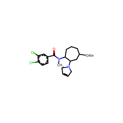 COC1CCCC(N(C)C(=O)c2ccc(Cl)c(Cl)c2)C(N2CC=CC2)C1